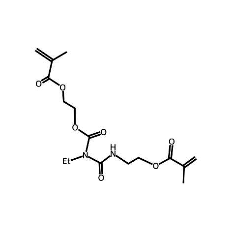 C=C(C)C(=O)OCCNC(=O)N(CC)C(=O)OCCOC(=O)C(=C)C